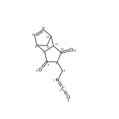 O=C=NCC1C(=O)C2C3C=CC(C3)C2C1=O